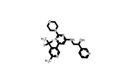 Cc1cc(C(C)(F)F)c(-c2cc(NCC(O)c3cccnc3)nc(N3CCOCC3)n2)cn1